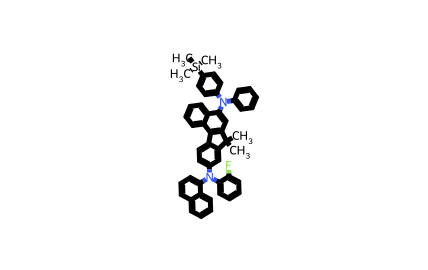 CC1(C)c2cc(N(c3ccccc3F)c3cccc4ccccc34)ccc2-c2c1cc(N(c1ccccc1)c1ccc([Si](C)(C)C)cc1)c1ccccc21